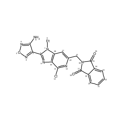 CCn1c(-c2nonc2N)nc2c(Cl)nc(CN3C(=O)c4ccccc4C3=O)cc21